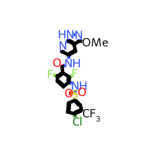 COc1n[nH]c2ncc(NC(=O)c3c(F)ccc(NS(=O)(=O)c4ccc(Cl)c(C(F)(F)F)c4)c3F)cc12